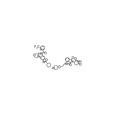 O=C1CCC(N2C(=O)c3cccc(NCCC4CC5(CCN(C[C@H]6CC[C@H](c7nc8cc(N9CCOCC9)c(NC(=O)c9cccc(C(F)(F)F)n9)cc8o7)CC6)CC5)C4)c3C2=O)C(=O)N1